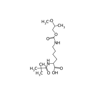 COC(C)COC(=O)NCCCCC(NC(=O)C(C)(C)C)C(=O)O